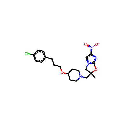 CC1(CN2CCC(OCCCc3ccc(Cl)cc3)CC2)Cn2cc([N+](=O)[O-])nc2O1